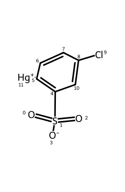 O=S(=O)([O-])c1cccc(Cl)c1.[Hg+]